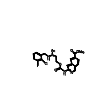 COC(=O)c1ccc2cnc(NC(=O)OCCN(NCc3cccc(F)c3Cl)C(C)=O)cc2c1